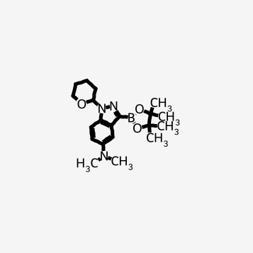 CN(C)c1ccc2c(c1)c(B1OC(C)(C)C(C)(C)O1)nn2C1CCCCO1